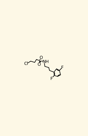 O=S(=O)(CCCCl)NCCCc1cc(F)ccc1F